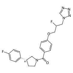 O=C(c1ccc(OCC(F)Cn2cnnn2)cc1)N1CC[C@H](c2ccc(F)cc2)C1